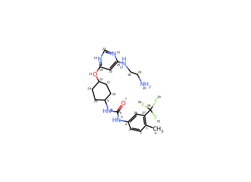 Cc1ccc(NC(=O)NC2CCC(Oc3cc(NCCN)ncn3)CC2)cc1C(F)(F)F